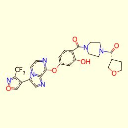 O=C(c1ccc(Oc2nccn3c(-c4conc4C(F)(F)F)cnc23)cc1O)N1CCN(C(=O)[C@@H]2CCOC2)CC1